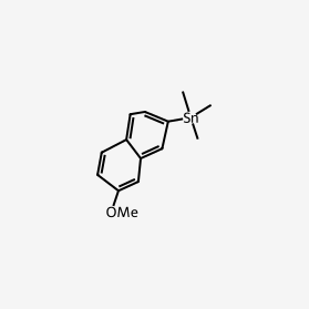 COc1ccc2cc[c]([Sn]([CH3])([CH3])[CH3])cc2c1